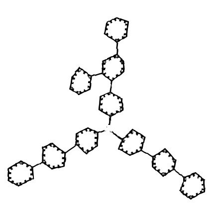 c1ccc(-c2ccc(-c3ccc(N(c4ccc(-c5ccc(-c6ccccc6)cc5)cc4)c4ccc(-c5ccc(-c6ccccc6)cc5-c5ccccc5)cc4)cc3)cc2)cc1